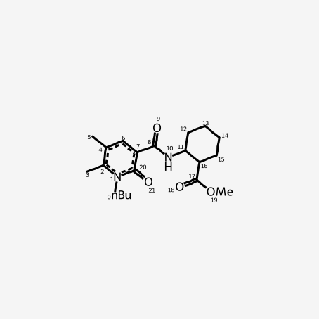 CCCCn1c(C)c(C)cc(C(=O)NC2CCCCC2C(=O)OC)c1=O